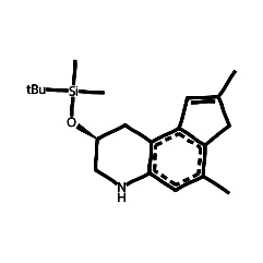 CC1=Cc2c(c(C)cc3c2C[C@H](O[Si](C)(C)C(C)(C)C)CN3)C1